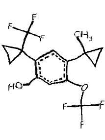 CC1(c2cc(C3(C(F)(F)F)CC3)c(O)cc2OC(F)(F)F)CC1